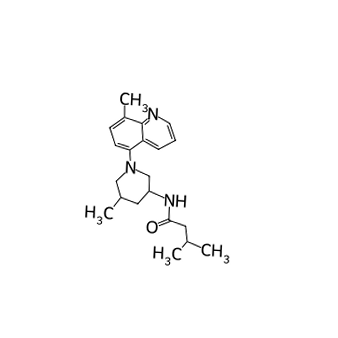 Cc1ccc(N2CC(C)CC(NC(=O)CC(C)C)C2)c2cccnc12